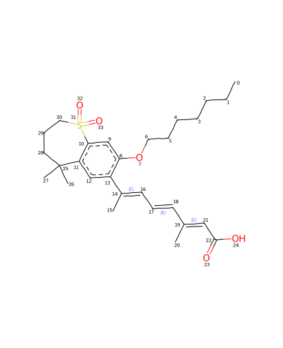 CCCCCCCOc1cc2c(cc1/C(C)=C/C=C/C(C)=C/C(=O)O)C(C)(C)CCCS2(=O)=O